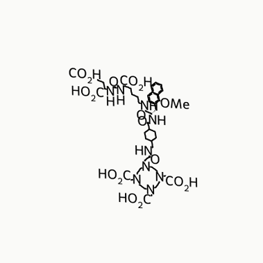 COc1c(C[C@H](NC(=O)C2CCC(CNC(=O)CN3CCN(CC(=O)O)CCN(CC(=O)O)CCN(CC(=O)O)CC3)CC2)C(=O)NCCCC[C@H](NC(=O)N[C@@H](CCC(=O)O)C(=O)O)C(=O)O)ccc2ccccc12